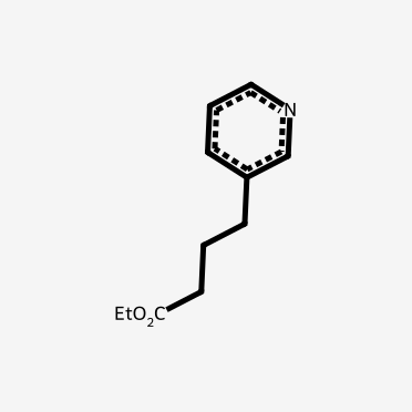 CCOC(=O)CCCc1cccnc1